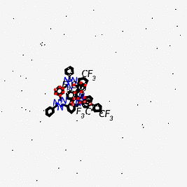 FC(F)(F)c1ccc(-c2ccc3c(c2)c2ccccc2n3-c2cccc(-c3nc(-c4ccccc4)nc(-c4ccccc4)n3)c2-c2cccc(-c3c(-c4nc(-c5ccccc5)nc(-c5ccccc5)n4)cccc3-n3c4ccccc4c4cc(-c5ccc(C(F)(F)F)cc5C(F)(F)F)ccc43)c2)c(C(F)(F)F)c1